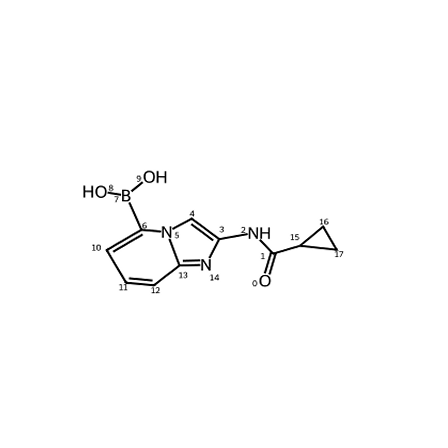 O=C(Nc1cn2c(B(O)O)cccc2n1)C1CC1